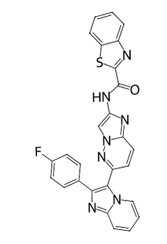 O=C(Nc1cn2nc(-c3c(-c4ccc(F)cc4)nc4ccccn34)ccc2n1)c1nc2ccccc2s1